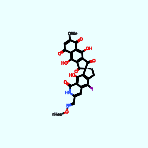 CCCCCCON=Cc1cc2c(I)c3c(c(O)c2c(=O)[nH]1)[C@@]1(CC3)C(=O)c2c(O)c3c(c(O)c2C1=O)C(=O)C(OC)=CC3=O